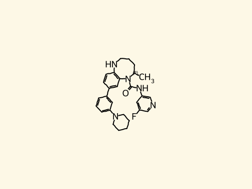 C[C@@H]1CCCNc2ccc(-c3cccc(N4CCCCC4)c3)cc2N1C(=O)Nc1cncc(F)c1